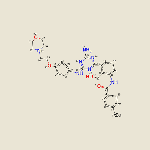 CC(C)(C)c1ccc(C(=O)Nc2cccc(-c3nc(N)nc(Nc4ccc(OCCN5CCOCC5)cc4)n3)c2CO)cc1